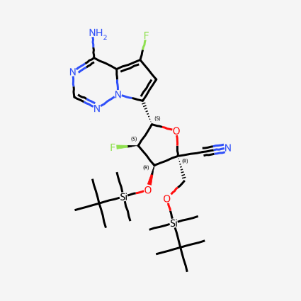 CC(C)(C)[Si](C)(C)OC[C@@]1(C#N)O[C@@H](c2cc(F)c3c(N)ncnn23)[C@H](F)[C@@H]1O[Si](C)(C)C(C)(C)C